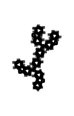 c1ccc2c(c1)oc1ccc(N(c3ccc(-c4ccc(N(c5ccc6oc7ccccc7c6c5)c5ccc6oc7ccccc7c6c5)cc4)cc3)c3ccc4oc5ccccc5c4c3)cc12